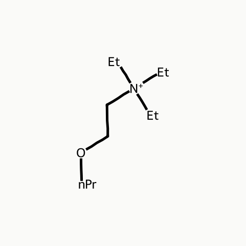 CCCOCC[N+](CC)(CC)CC